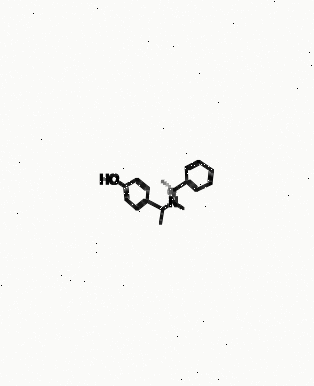 CC(c1ccc(O)cc1)N(C)[C@H](C)c1ccccc1